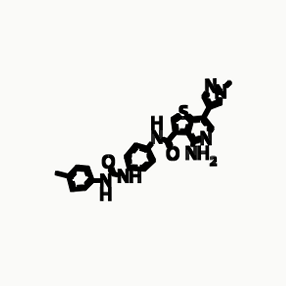 Cc1ccc(NC(=O)Nc2ccc(NC(=O)c3csc4c(-c5cnn(C)c5)cnc(N)c34)cc2)cc1